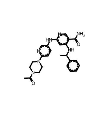 CC(=O)N1CCN(c2ccc(Nc3cc(NC(C)c4ccccc4)c(C(N)=O)cn3)cn2)CC1